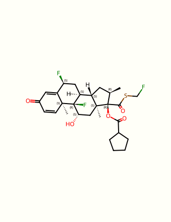 C[C@@H]1C[C@H]2[C@@H]3C[C@H](F)C4=CC(=O)C=C[C@]4(C)[C@@]3(F)[C@@H](O)C[C@]2(C)[C@@]1(OC(=O)C1CCCC1)C(=O)SCF